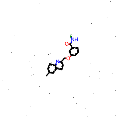 Cc1ccc2nc(COc3cccc(C(=O)NF)c3)ccc2c1